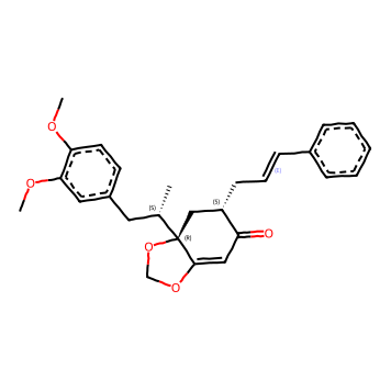 COc1ccc(C[C@H](C)[C@]23C[C@H](C/C=C/c4ccccc4)C(=O)C=C2OCO3)cc1OC